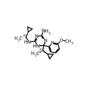 COc1cccc(C2([C@H](C)C3CC3)N=C(N)N=C(N[C@H](C)C3CC3)N2)n1